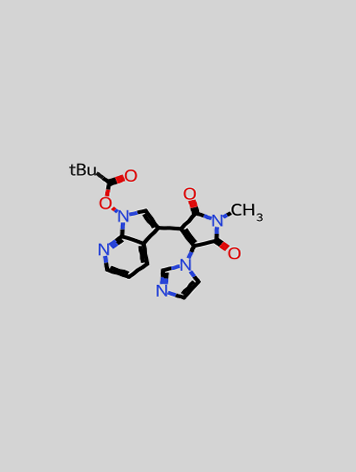 CN1C(=O)C(c2cn(OC(=O)C(C)(C)C)c3ncccc23)=C(n2ccnc2)C1=O